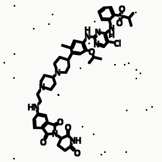 Cc1cc(Nc2ncc(Cl)c(Nc3ccccc3S(=O)(=O)C(C)C)n2)c(OC(C)C)cc1C1CCN(C2CCN(CCNc3ccc4c(c3)C(=O)N(C3CCC(=O)NC3=O)C4=O)CC2)CC1